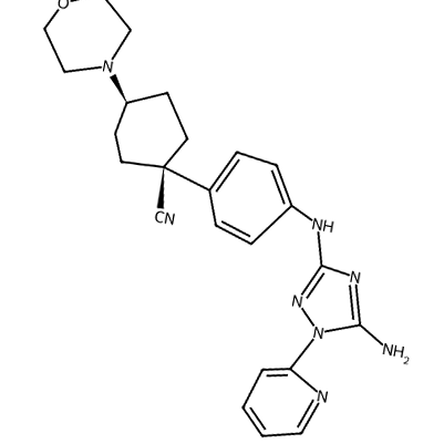 N#C[C@]1(c2ccc(Nc3nc(N)n(-c4ccccn4)n3)cc2)CC[C@H](N2CCOCC2)CC1